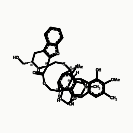 COc1c(C)cc2c(c1O)C1[C@@H]3[C@@H]4SC[C@]5(N[C@H](CO)Cc6c5oc5ccccc65)C(=O)OC[C@@H](c5c6c(c(C)c(OC(C)=O)c54)OCO6)N3C(C#N)(C2)CN1C